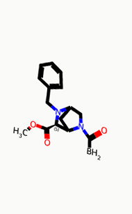 BC(=O)N1CC2CC1[C@@H](C(=O)OC)N2Cc1ccccc1